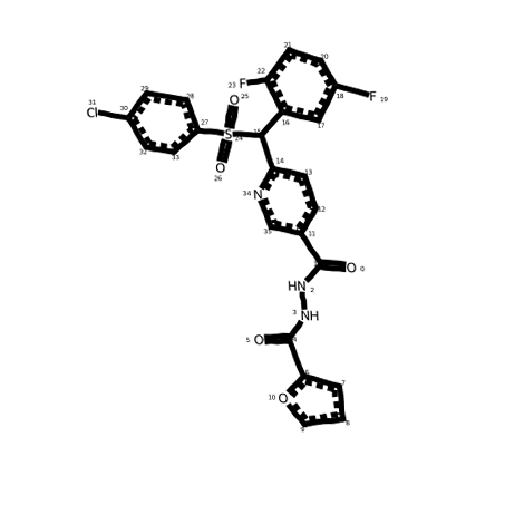 O=C(NNC(=O)c1ccco1)c1ccc(C(c2cc(F)ccc2F)S(=O)(=O)c2ccc(Cl)cc2)nc1